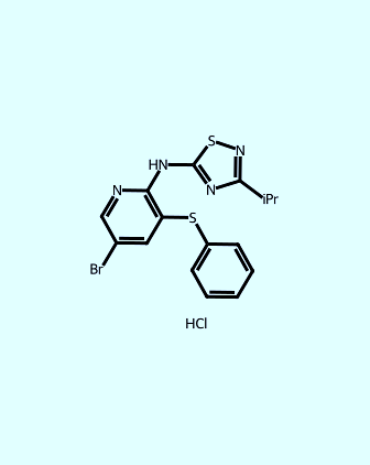 CC(C)c1nsc(Nc2ncc(Br)cc2Sc2ccccc2)n1.Cl